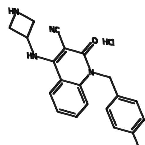 Cl.N#Cc1c(NC2CNC2)c2ccccc2n(Cc2ccc(F)cc2)c1=O